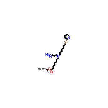 CCCCCCCCC(CCCCCCCC)OC(=O)CCCCCCCN(CCCCCCCSSc1ccccn1)CCCN=[N+]=[N-]